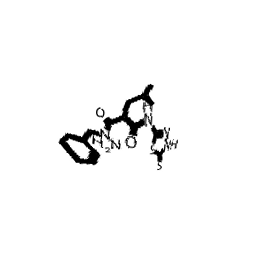 CC(C)CC(C(=O)Nc1n[nH]c(=S)s1)C(=O)N(N)Cc1ccccc1